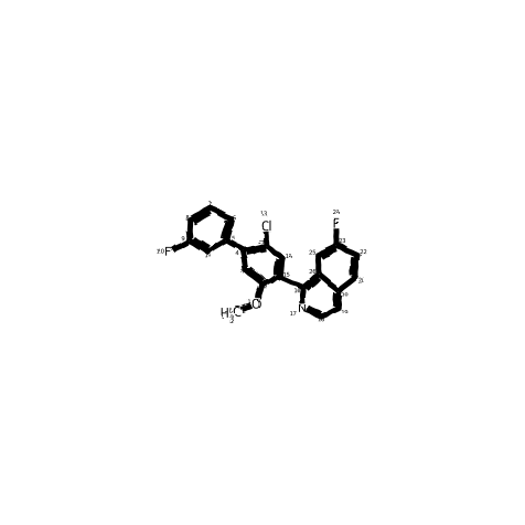 COc1cc(-c2cccc(F)c2)c(Cl)cc1-c1nccc2c[c]c(F)cc12